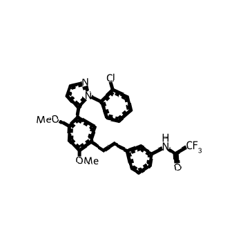 COc1cc(OC)c(-c2ccnn2-c2ccccc2Cl)cc1CCc1cccc(NC(=O)C(F)(F)F)c1